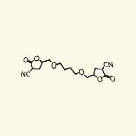 N#CC1CC(COCCCCOCC2CC(C#N)C(=O)O2)OC1=O